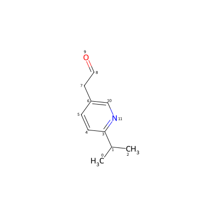 CC(C)c1ccc(CC=O)cn1